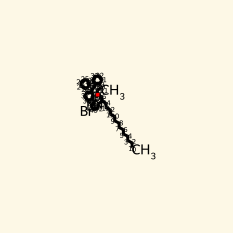 CCCCCCCCCCCCCCCC(CC(=O)C(CC)[P+](c1ccccc1)(c1ccccc1)c1ccccc1)n1ccnc1.[Br-]